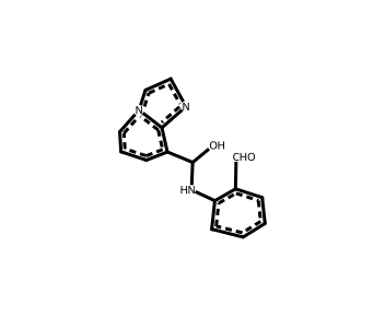 O=Cc1ccccc1NC(O)c1cccn2ccnc12